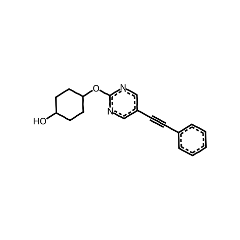 OC1CCC(Oc2ncc(C#Cc3ccccc3)cn2)CC1